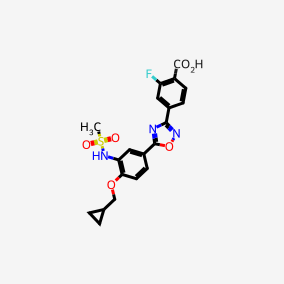 CS(=O)(=O)Nc1cc(-c2nc(-c3ccc(C(=O)O)c(F)c3)no2)ccc1OCC1CC1